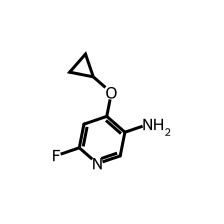 Nc1cnc(F)cc1OC1CC1